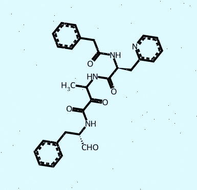 CC(NC(=O)[C@H](Cc1ccccn1)NC(=O)Cc1ccccc1)C(=O)C(=O)N[C@H](C=O)Cc1ccccc1